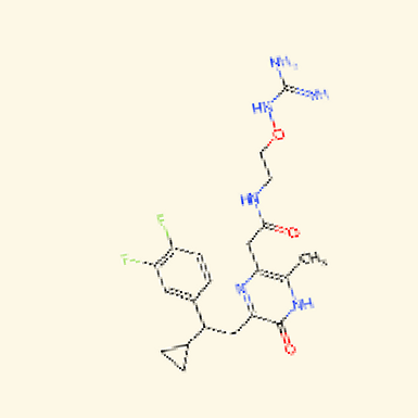 Cc1[nH]c(=O)c(CC(c2ccc(F)c(F)c2)C2CC2)nc1CC(=O)NCCONC(=N)N